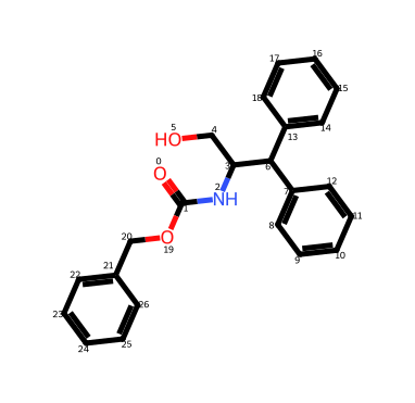 O=C(NC(CO)C(c1ccccc1)c1ccccc1)OCc1ccccc1